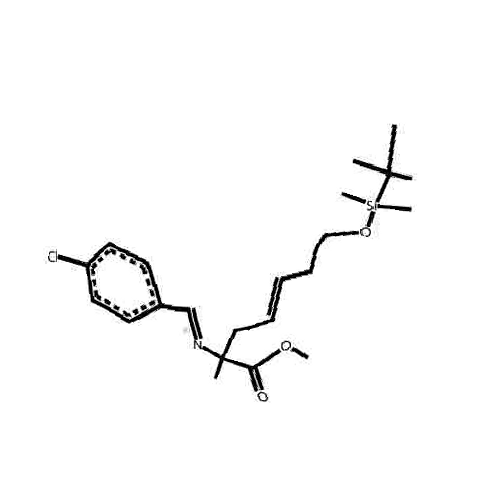 COC(=O)C(C)(CC=CCCO[Si](C)(C)C(C)(C)C)/N=C/c1ccc(Cl)cc1